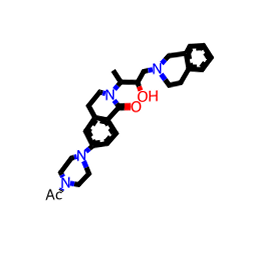 CC(=O)N1CCN(c2ccc3c(c2)CCN(C(C)C(O)CN2CCc4ccccc4C2)C3=O)CC1